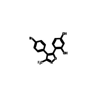 Oc1ccc(-c2onc(C(F)(F)F)c2-c2ccc(Br)cc2)c(O)c1